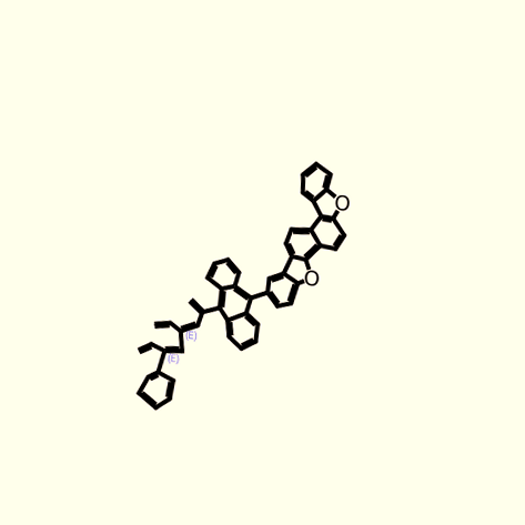 C=CC(=C\C(=C)c1c2ccccc2c(-c2ccc3oc4c(ccc5c4ccc4oc6ccccc6c45)c3c2)c2ccccc12)/C=C(\C=C)c1ccccc1